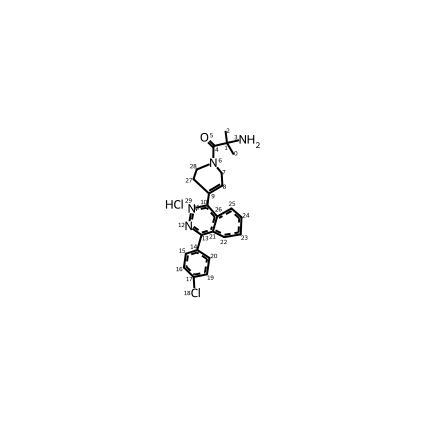 CC(C)(N)C(=O)N1CC=C(c2nnc(-c3ccc(Cl)cc3)c3ccccc23)CC1.Cl